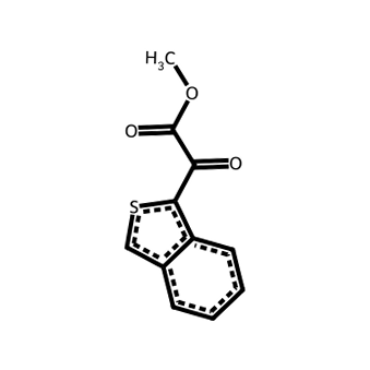 COC(=O)C(=O)c1scc2ccccc12